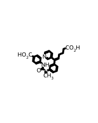 CN(C(=O)Nc1ccc(C(=O)O)cc1)c1cccc(C(=CCCCC(=O)O)c2cccnc2)c1